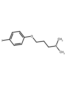 CN(C)CCCOc1ccc(I)cc1